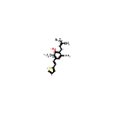 COc1cc(/C=C/c2cccs2)c(C(=O)O)c(O)c1CC=C(C)C